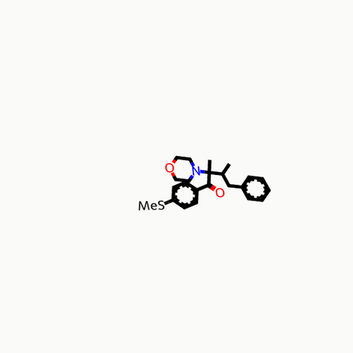 CSc1ccc(C(=O)C(C)(C(C)Cc2ccccc2)N2CCOCC2)cc1